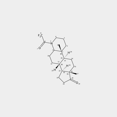 C[C@]12CCCN(C(=O)C(F)(F)F)C1CC[C@@H]1[C@@H]2CC[C@]2(C)C(=O)CC[C@@H]12